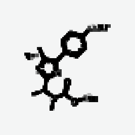 Cc1sc([C@H](C)N(C)C(=O)OC(C)(C)C)nc1-c1ccc(C(=O)[O-])cc1.[Na+]